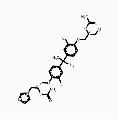 CC(=O)O[C@@H](CCl)COc1ccc(C(C)(C)c2ccc(OC[C@@H](Cn3ccnc3)OC(C)=O)c(Cl)c2)cc1Cl